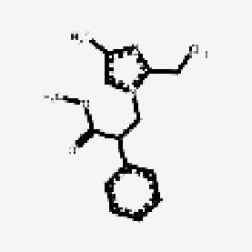 CCc1nc(C)cn1CC(C(=O)OC)c1ccccc1